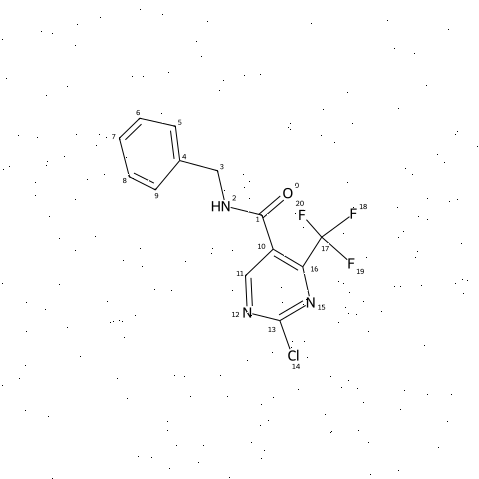 O=C(NCc1ccccc1)c1cnc(Cl)nc1C(F)(F)F